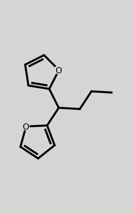 CCCC(c1ccco1)c1ccco1